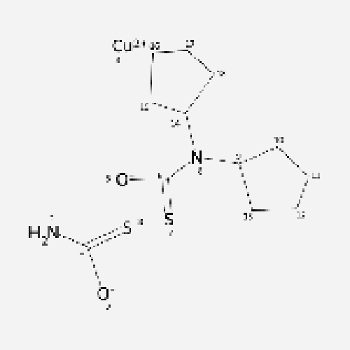 NC([O-])=S.[Cu+2].[O-]C(=S)N(C1CCCC1)C1CCCC1